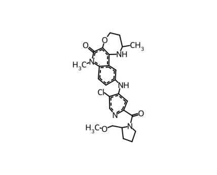 COCC1CCCN1C(=O)c1cc(Nc2ccc3c(c2)c2c(c(=O)n3C)OCCC(C)N2)c(Cl)cn1